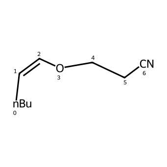 CCCC/C=C\OCCC#N